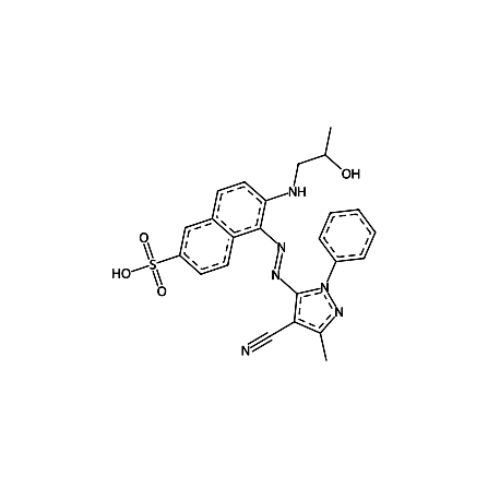 Cc1nn(-c2ccccc2)c(N=Nc2c(NCC(C)O)ccc3cc(S(=O)(=O)O)ccc23)c1C#N